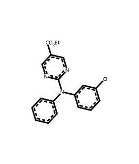 CCOC(=O)c1cnc(N(c2ccccc2)c2cccc(Cl)c2)nc1